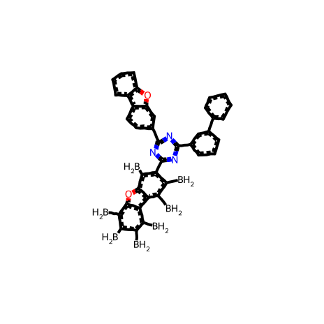 Bc1c(B)c(B)c2c(oc3c(B)c(-c4nc(-c5cccc(-c6ccccc6)c5)nc(-c5ccc6c(c5)oc5ccccc56)n4)c(B)c(B)c32)c1B